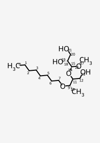 CCCCCCCCO[C@@H](C)C(CO)O[C@H](OC)[C@H](O)CO